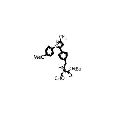 COc1ccc(-n2nc(C(F)(F)F)cc2-c2ccc(CNN(CC=O)C(=O)OC(C)(C)C)cc2)cc1